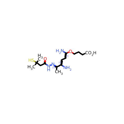 CC(=N\NC(=O)CC(C)(C)S)/C(N)=C/C=C(\N)OCCCC(=O)O